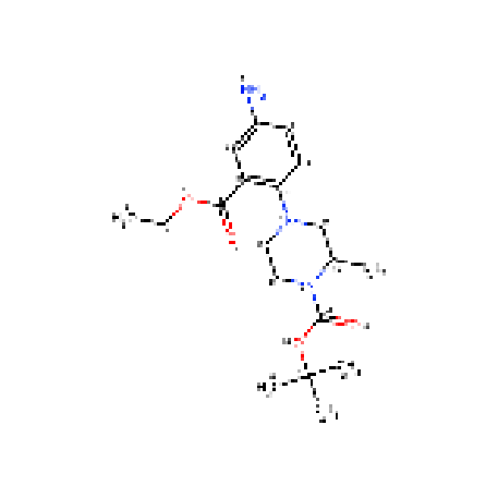 CCOC(=O)c1cc(N)ccc1N1CCN(C(=O)OC(C)(C)C)C(C)C1